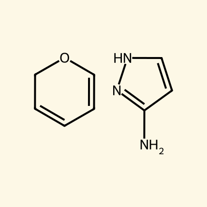 C1=CCOC=C1.Nc1cc[nH]n1